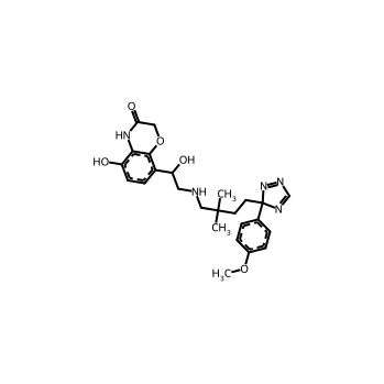 COc1ccc(C2(CCC(C)(C)CNCC(O)c3ccc(O)c4c3OCC(=O)N4)N=CN=N2)cc1